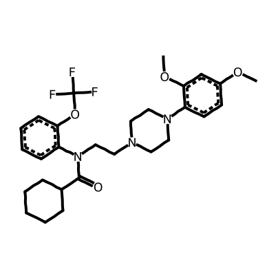 COc1ccc(N2CCN(CCN(C(=O)C3CCCCC3)c3ccccc3OC(F)(F)F)CC2)c(OC)c1